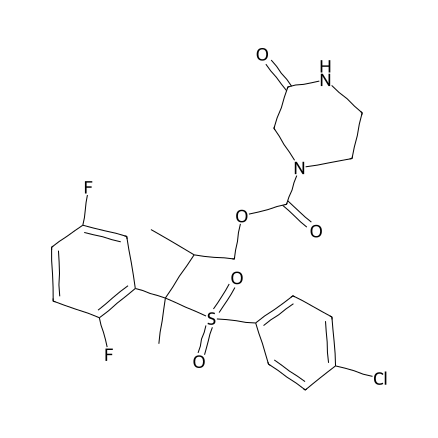 CC(COC(=O)N1CCNC(=O)C1)C(C)(c1cc(F)ccc1F)S(=O)(=O)c1ccc(Cl)cc1